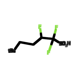 CC(C)(C)CCC(F)C(F)(F)S(=O)(=O)O